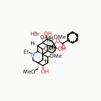 Br.CCN1C[C@]2(COC)[C@H](O)C[C@H](OC)[C@]34C1[C@H]([C@H](OC)[C@H]23)[C@]1(OC(C)=O)[C@H]2[C@@H](OC(=O)c3ccccc3)[C@](O)(C[C@H]24)[C@@H](OC)[C@@H]1O